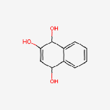 OC1=CC(O)c2ccccc2C1O